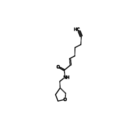 C#CCCCC=CC(=O)NCC1CCOC1